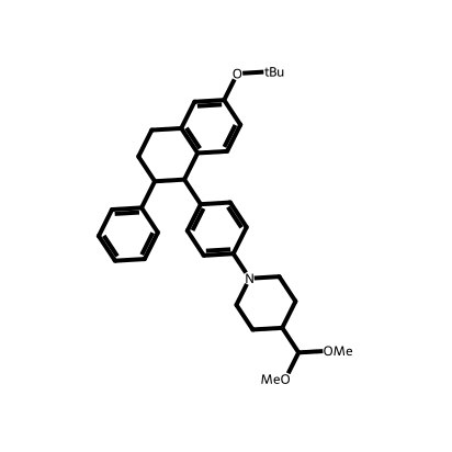 COC(OC)C1CCN(c2ccc(C3c4ccc(OC(C)(C)C)cc4CCC3c3ccccc3)cc2)CC1